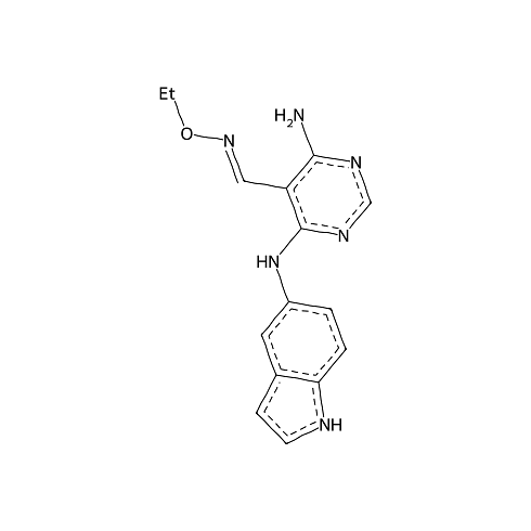 CCON=Cc1c(N)ncnc1Nc1ccc2[nH]ccc2c1